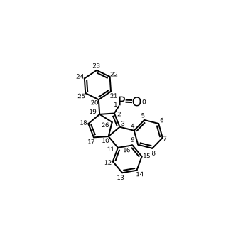 O=PC1=C(c2ccccc2)C2(c3ccccc3)C=CC1(c1ccccc1)C2